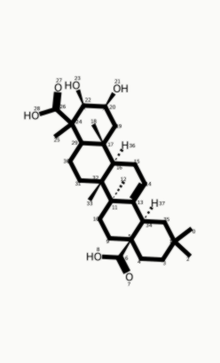 CC1(C)CC[C@]2(C(=O)O)CC[C@]3(C)C(=CC[C@@H]4[C@@]5(C)C[C@H](O)[C@H](O)C(C)(C(=O)O)C5CC[C@]43C)[C@H]2C1